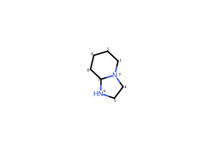 C1CCN2CCNC2C1